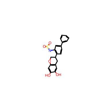 O=S(=O)=Nc1cc(-c2ccccc2)ccc1C1COc2cc(O)c(O)cc2C1